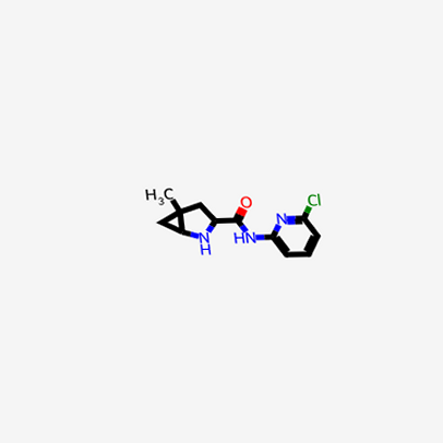 CC12CC(C(=O)Nc3cccc(Cl)n3)NC1C2